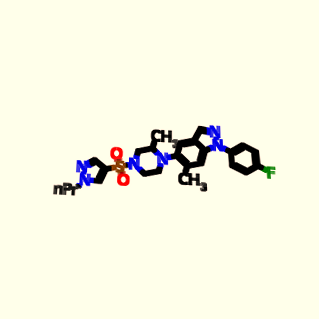 CCCn1cc(S(=O)(=O)N2CCN(c3cc4cnn(-c5ccc(F)cc5)c4cc3C)C(C)C2)cn1